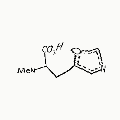 CNC(Cc1cnco1)C(=O)O